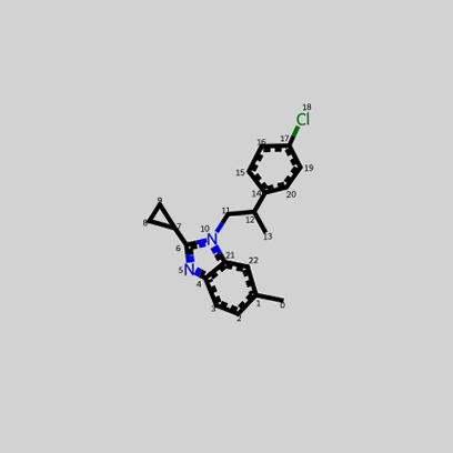 Cc1ccc2nc(C3CC3)n(CC(C)c3ccc(Cl)cc3)c2c1